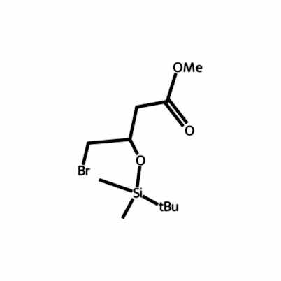 COC(=O)CC(CBr)O[Si](C)(C)C(C)(C)C